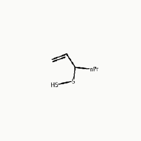 C=CC(CCC)SS